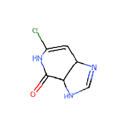 O=C1NC(Cl)=CC2N=CNC12